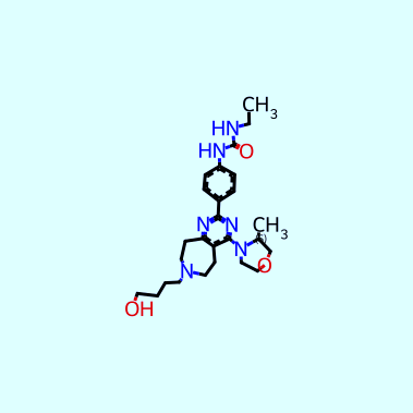 CCNC(=O)Nc1ccc(-c2nc3c(c(N4CCOC[C@@H]4C)n2)CCN(CCCCO)CC3)cc1